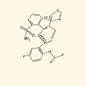 NS(=O)(=O)c1cccc(C(F)(F)F)c1-c1cc(-c2cc(F)ccc2OC(F)F)ccc1-c1cscn1